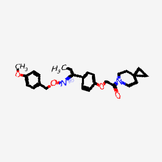 CC/C(=N\OCc1ccc(OC)cc1)c1ccc(OCC(=O)N2CCC3(CC2)CC3)cc1